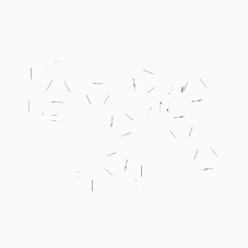 O=C1c2cccc(C3c4ccc(-c5cc(C(F)(F)F)cc(C(F)(F)F)c5)cc4-c4cc(-c5cc(C(F)(F)F)cc(C(F)(F)F)c5)ccc43)c2C(=O)N1c1ccc(-c2ccccc2)cc1-c1ccccc1